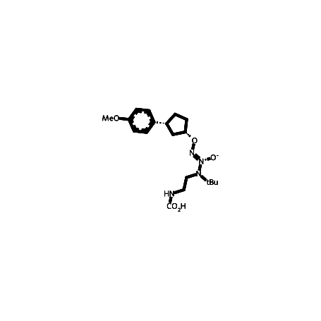 COc1ccc([C@@H]2CC[C@H](ON=[N+]([O-])N(CCNC(=O)O)C(C)(C)C)C2)cc1